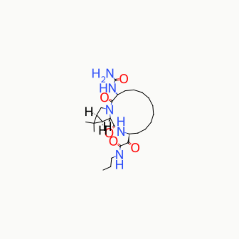 CCCNC(=O)C(=O)[C@@H]1CCCCCCCCC[C@H](NC(N)=O)C(=O)N2C[C@H]3[C@@H]([C@H]2C(=O)N1)C3(C)C